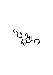 Cn1c(-c2ccccc2)cc2onc(-c3ccc(Cl)cc3)c2c1=O